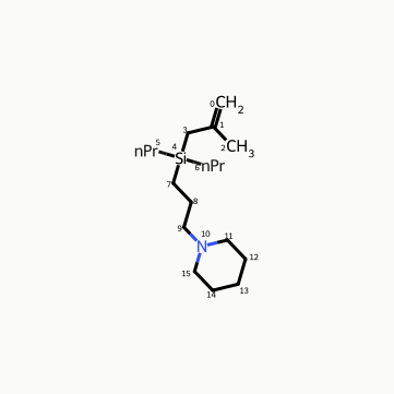 C=C(C)C[Si](CCC)(CCC)CCCN1CCCCC1